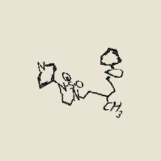 CC(CCOc1ccccc1)CCN1CCN(c2ccncc2)S1(=O)=O